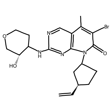 C=C[C@@H]1CCC(n2c(=O)c(Br)c(C)c3cnc(NC4CCOC[C@H]4O)nc32)C1